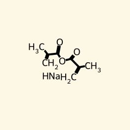 C=C(C)C(=O)OC(=O)C(=C)C.[NaH]